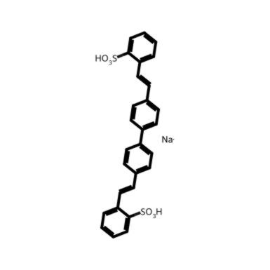 O=S(=O)(O)c1ccccc1C=Cc1ccc(-c2ccc(C=Cc3ccccc3S(=O)(=O)O)cc2)cc1.[Na]